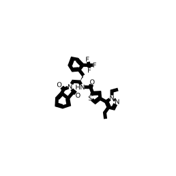 CCc1cnn(CC)c1-c1csc(C(=O)N[C@@H](Cc2ccccc2C(F)(F)F)CN2C(=O)c3ccccc3C2=O)c1